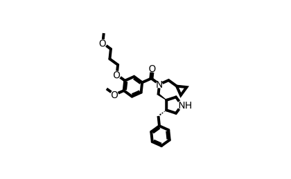 COCCCOc1cc(C(=O)N(CC2CC2)C[C@H]2CNC[C@@H]2Cc2ccccc2)ccc1OC